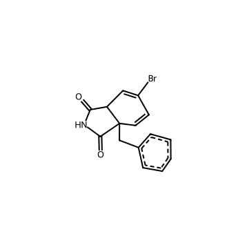 O=C1NC(=O)C2(Cc3ccccc3)C=CC(Br)=CC12